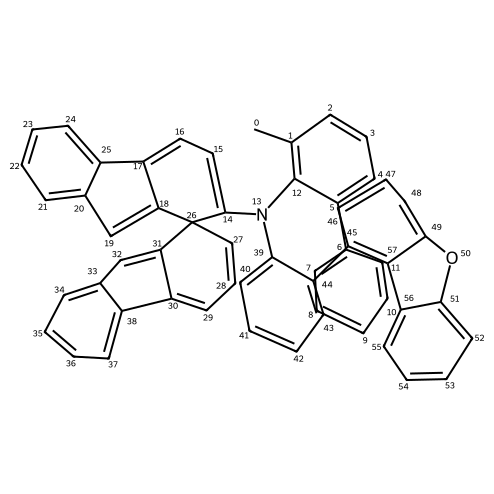 Cc1cccc(-c2ccccc2)c1N(C1=CC=C2C(=Cc3ccccc32)C12C=CC=C1C2=Cc2ccccc21)c1ccccc1-c1cccc2oc3ccccc3c12